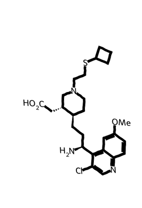 COc1ccc2ncc(Cl)c([C@@H](N)CC[C@@H]3CCN(CCSC4CCC4)C[C@H]3CC(=O)O)c2c1